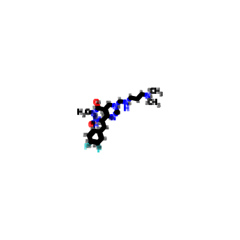 CN(C)CCCNCN1C=NC2=C(C1)C(=O)N(C)[NH+]([O-])C2Cc1ccc(F)c(F)c1